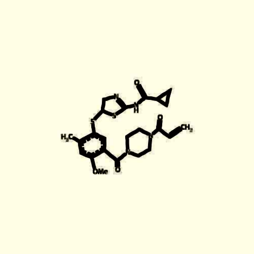 C=CC(=O)N1CCN(C(=O)c2cc(SC3CN=C(NC(=O)C4CC4)S3)c(C)cc2OC)CC1